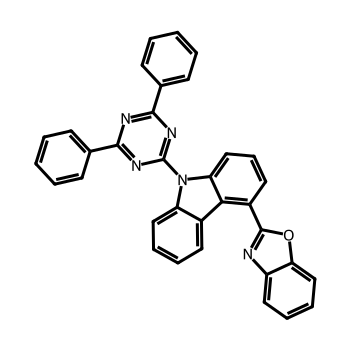 c1ccc(-c2nc(-c3ccccc3)nc(-n3c4ccccc4c4c(-c5nc6ccccc6o5)cccc43)n2)cc1